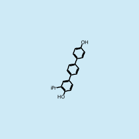 CC(C)c1cc(-c2ccc(-c3ccc(O)cc3)cc2)ccc1O